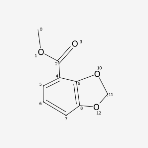 COC(=O)c1cccc2c1O[CH]O2